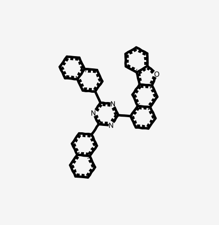 c1ccc2cc(-c3nc(-c4ccc5ccccc5c4)nc(-c4cccc5cc6oc7ccccc7c6cc45)n3)ccc2c1